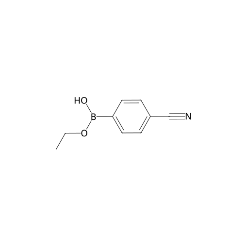 CCOB(O)c1ccc(C#N)cc1